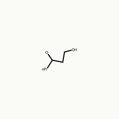 CCCC([O])CCO